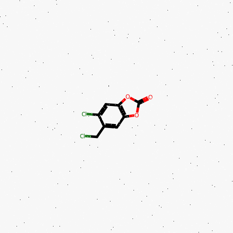 O=c1oc2cc(Cl)c(CCl)cc2o1